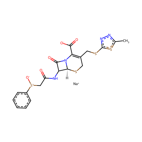 Cc1nnc(SCC2=C(C(=O)[O-])N3C(=O)C(NC(=O)C[S+]([O-])c4ccccc4)[C@@H]3SC2)s1.[Na+]